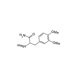 CCCCCCCC(Cc1ccc(OC)c(OC)c1)C(N)=O